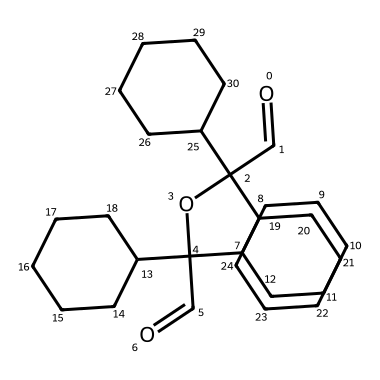 O=CC(OC(C=O)(C1CCCCC1)C1CCCCC1)(C1CCCCC1)C1CCCCC1